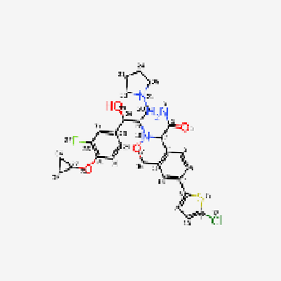 NC(=O)C1c2ccc(-c3ccc(Cl)s3)cc2CON1[C@H](CN1CCCC1)[C@H](O)c1ccc(OC2CC2)c(F)c1